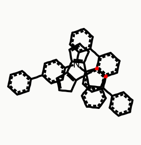 C1=CC2=C(C1)C1(C3=C2C=CC3)c2ccccc2-c2cccc(-c3ccccc3N(c3ccc(-c4ccccc4)cc3)c3ccc(-c4ccccc4)cc3)c21